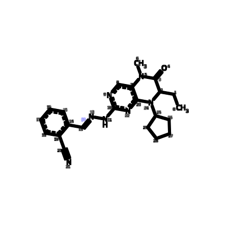 CCC1C(=O)N(C)c2cnc(N/N=C/c3ccccc3C#N)nc2N1C1CCCC1